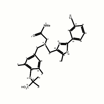 CNC(=O)CN(Cc1cc(C)c(OC(C)(C)C(=O)O)c(C)c1)Cc1nc(-c2cccc(Cl)c2)oc1C